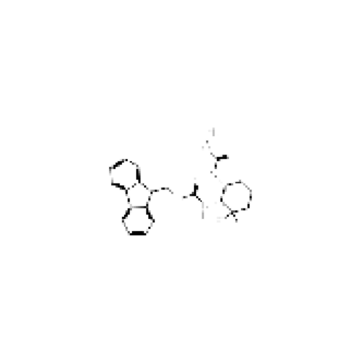 CC(C)(C)OC(=O)N[C@@H]1CCCC(F)(F)[C@@H]1NC(=O)OCC1c2ccccc2-c2ccccc21